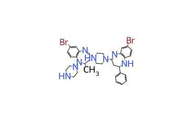 Brc1ccc2c(c1)N=C(N1CCNCC1)CC(c1ccccc1)N2.CC1CC=Nc2cc(Br)ccc2N1N1CCNCC1